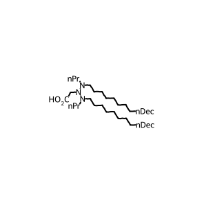 CCCCCCCCCCCCCCCCCCN(CCC)N(CC(=O)O)N(CCC)CCCCCCCCCCCCCCCCCC